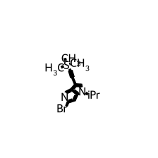 CC(C)n1cc(C#CS(C)(C)C)c2cnc(Br)cc21